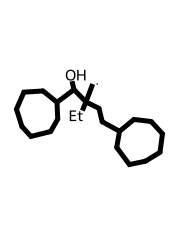 [CH2]C(CC)(CCC1CCCCCCC1)C(O)C1CCCCCCC1